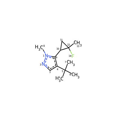 Cn1ncc(C(C)(C)C)c1C1CC1(C)F